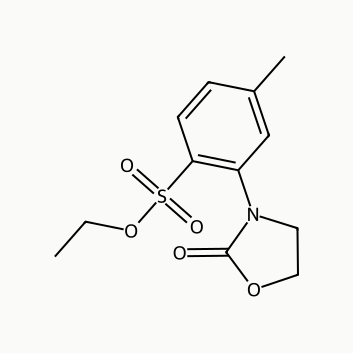 CCOS(=O)(=O)c1ccc(C)cc1N1CCOC1=O